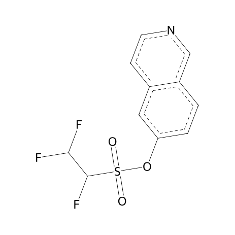 O=S(=O)(Oc1ccc2cnccc2c1)C(F)C(F)F